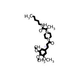 CCCCCNC(=O)C(C)N1CCN(C(=O)/C=C/c2cc(OC)c(OC)c(OC)c2)CC1